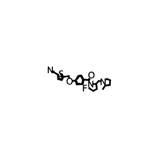 CC1CCCN1CC1CCCN1C(=O)c1ccc(OCc2ccc(C#N)s2)cc1F